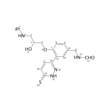 CC(C)NCC(O)COc1ccc(CNC=O)cc1-c1ccc(=S)[nH]n1